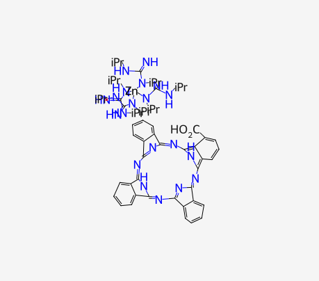 CC(C)NC(=N)[N](C(C)C)[Zn]([N](C(=N)NC(C)C)C(C)C)([N](C(=N)NC(C)C)C(C)C)[N](C(=N)NC(C)C)C(C)C.O=C(O)c1cccc2c3nc4nc(nc5[nH]c(nc6nc(nc([nH]3)c12)-c1ccccc1-6)c1ccccc51)-c1ccccc1-4